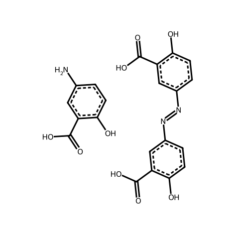 Nc1ccc(O)c(C(=O)O)c1.O=C(O)c1cc(/N=N/c2ccc(O)c(C(=O)O)c2)ccc1O